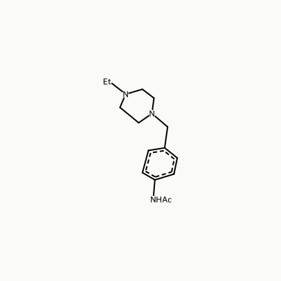 CCN1CCN(Cc2ccc(NC(C)=O)cc2)CC1